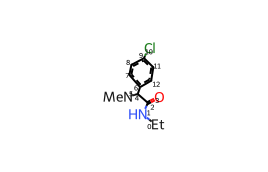 CCNC(=O)C(NC)c1ccc(Cl)cc1